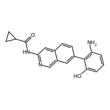 Nc1cccc(O)c1-c1ccc2cc(NC(=O)C3CC3)ncc2c1